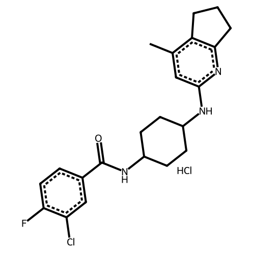 Cc1cc(NC2CCC(NC(=O)c3ccc(F)c(Cl)c3)CC2)nc2c1CCC2.Cl